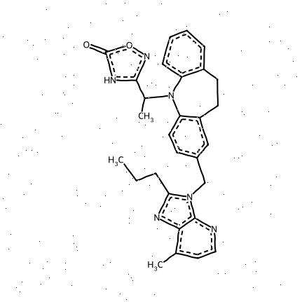 CCCc1nc2c(C)ccnc2n1Cc1ccc2c(c1)CCc1ccccc1N2C(C)c1noc(=O)[nH]1